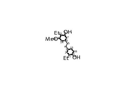 CCc1cc(CCc2cc(O)c(CC)c(OC)c2)ccc1O